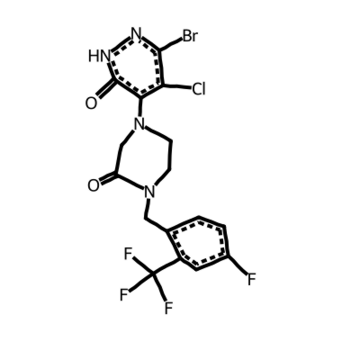 O=C1CN(c2c(Cl)c(Br)n[nH]c2=O)CCN1Cc1ccc(F)cc1C(F)(F)F